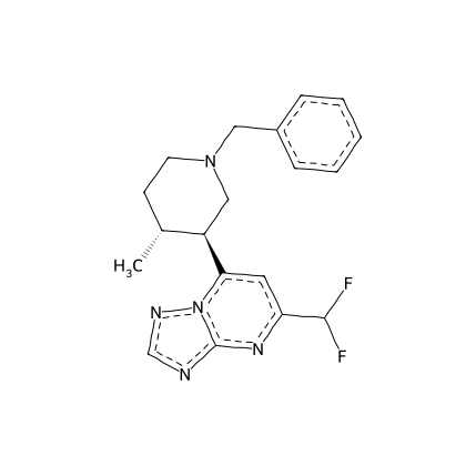 C[C@@H]1CCN(Cc2ccccc2)C[C@H]1c1cc(C(F)F)nc2ncnn12